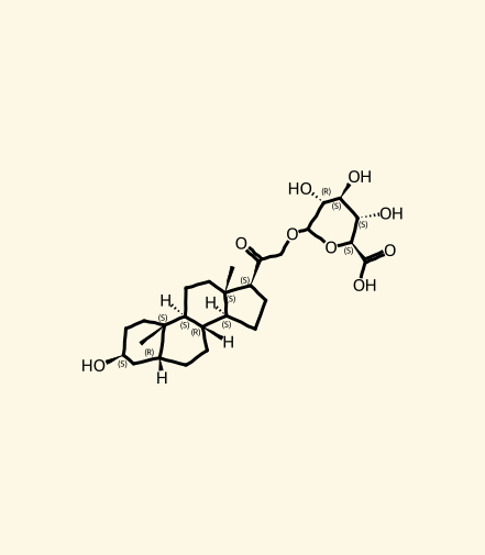 C[C@]12CC[C@H](O)C[C@H]1CC[C@@H]1[C@@H]2CC[C@]2(C)[C@@H](C(=O)COC3O[C@H](C(=O)O)[C@@H](O)[C@H](O)[C@H]3O)CC[C@@H]12